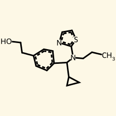 CCCN(c1nccs1)C(c1ccc(CCO)cc1)C1CC1